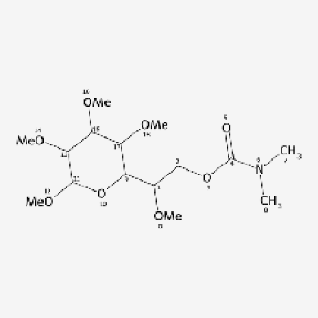 COC(COC(=O)N(C)C)C1OC(OC)C(OC)C(OC)C1OC